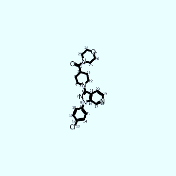 O=C(C1CCN(c2nn(-c3ccc(Cl)cc3)c3cnccc23)CC1)N1CCOCC1